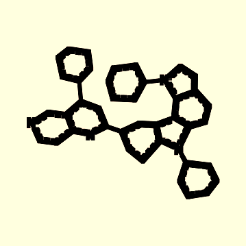 c1ccc(-c2cc(-c3ccc4c(c3)c3c5c(ccc3n4-c3ccccc3)ccn5-c3ccccc3)nc3ccncc23)cc1